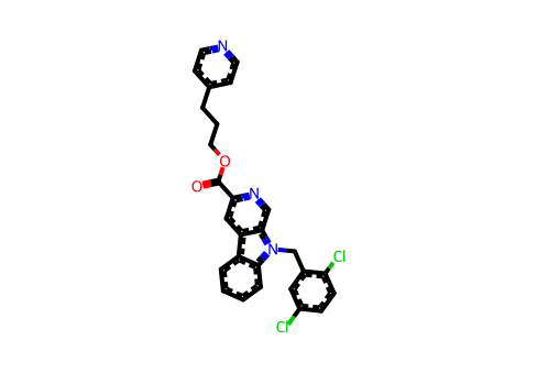 O=C(OCCCc1ccncc1)c1cc2c3ccccc3n(Cc3cc(Cl)ccc3Cl)c2cn1